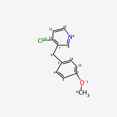 COc1ccc(Cc2cnccc2Cl)cc1